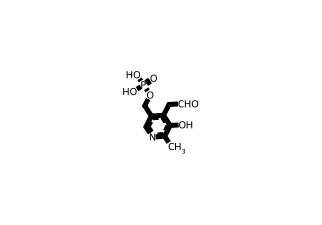 Cc1ncc(COP(=O)(O)O)c(CC=O)c1O